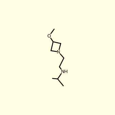 COC1CN(CCNC(C)C)C1